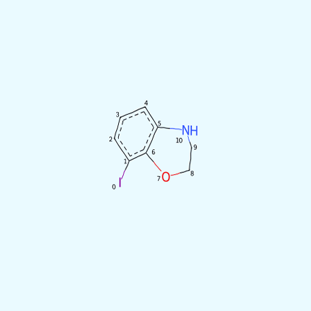 Ic1cccc2c1OCCN2